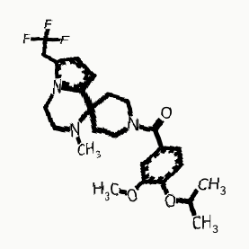 COc1cc(C(=O)N2CCC3(CC2)c2ccc(CC(F)(F)F)n2CCN3C)ccc1OC(C)C